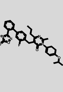 CCCc1nc(C)n(C2=CC=C(OC(C)C)CC2)c(=O)c1Cc1ccc(-c2ccccc2-c2noc(=O)[nH]2)cc1F